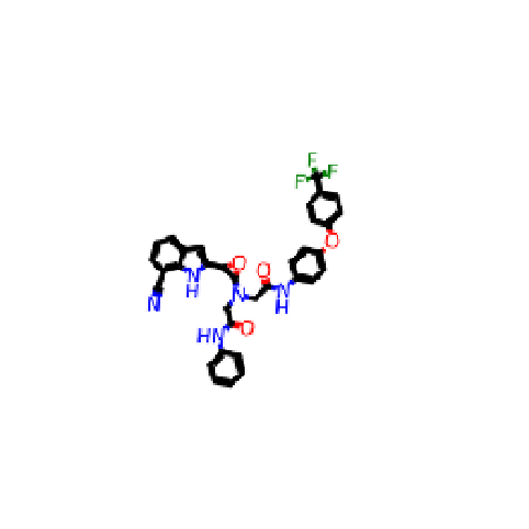 N#Cc1cccc2cc(C3OC3N(CC(=O)Nc3ccccc3)CC(=O)Nc3ccc(Oc4ccc(C(F)(F)F)cc4)cc3)[nH]c12